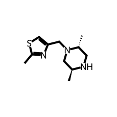 Cc1nc(CN2C[C@H](C)NC[C@H]2C)cs1